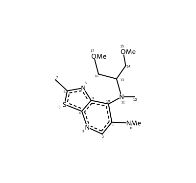 CNc1cnc2sc(C)nc2c1N(C)C(COC)COC